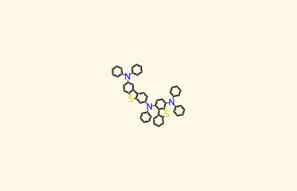 c1ccc(N(c2ccccc2)c2ccc3sc4cc(N(c5ccccc5)c5ccc(N(c6ccccc6)c6ccccc6)c6sc7ccccc7c56)ccc4c3c2)cc1